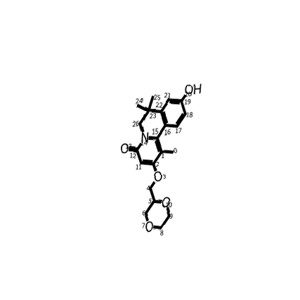 Cc1c(OCC2COCCO2)cc(=O)n2c1-c1ccc(O)cc1C(C)(C)C2